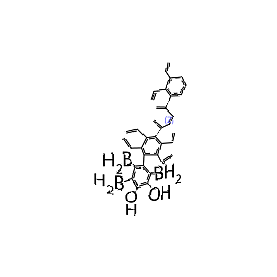 Bc1c(B)c(-c2c(C=C)c(C=C)c(C(=C)/C=C\C(=C)c3cccc(C=C)c3C=C)c(C=C)c2C=C)c(B)c(O)c1O